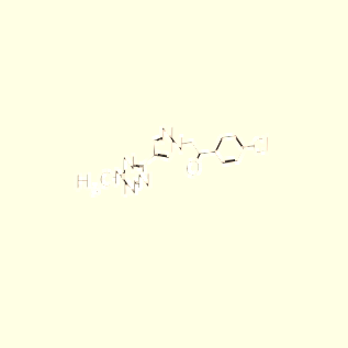 Cn1nnc(-c2cnn(CC(=O)c3ccc(Cl)cc3)c2)n1